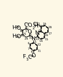 O=C(O)[C@H]1O[C@@H](N(c2ccc(OC(F)(F)F)cc2)c2ccc3cccc(Cl)c3n2)C[C@@H](O)[C@@H]1O